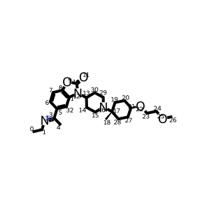 CC/N=C(\C)c1ccc2oc(=O)n(C3CCN([C@]4(C)CC[C@@H](OCCOC)CC4)CC3)c2c1